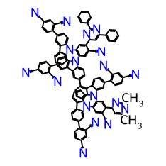 Cc1cc(-c2cc(-n3c4cc(-c5ccc(C#N)cc5C#N)ccc4c4c(-c5ccc6c(c5)c5cc(-c7ccc(C#N)cc7C#N)ccc5n6-c5cc(C#N)c(-c6cc(-c7ccccc7)nc(-c7ccccc7)n6)cc5-n5c6ccccc6c6cc(-c7ccc(C#N)cc7C#N)ccc65)cccc43)c(-n3c4ccccc4c4ccc(-c5ccc(C#N)cc5C#N)cc43)cc2C#N)nc(C)n1